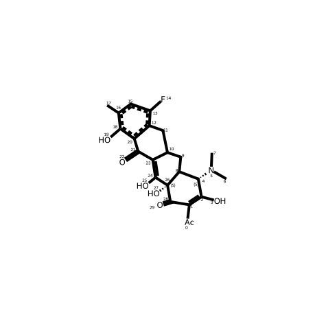 CC(=O)C1=C(O)[C@@H](N(C)C)C2CC3Cc4c(F)cc(C)c(O)c4C(=O)C3=C(O)[C@]2(O)C1=O